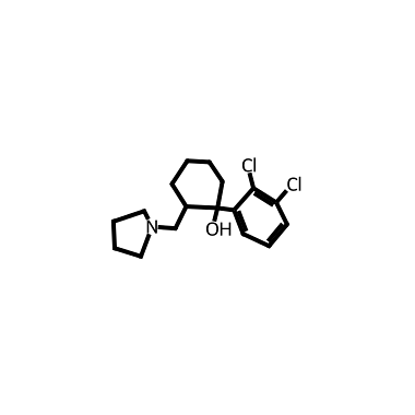 OC1(c2cccc(Cl)c2Cl)CCCCC1CN1CCCC1